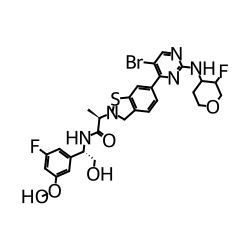 C[C@H](C(=O)N[C@H](CO)c1cc(F)cc(OO)c1)N1Cc2ccc(-c3nc(NC4CCOCC4F)ncc3Br)cc2S1